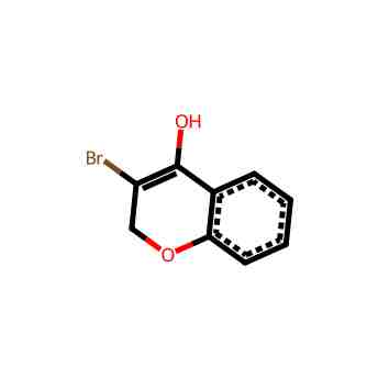 OC1=C(Br)COc2ccccc21